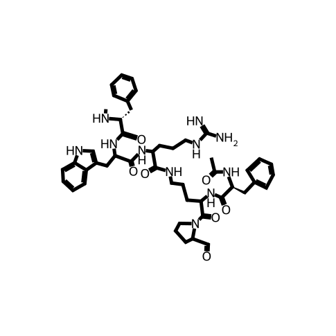 CN[C@H](Cc1ccccc1)C(=O)NC(Cc1c[nH]c2ccccc12)C(=O)NC(CCCNC(=N)N)C(=O)NCCCC(NC(=O)[C@H](Cc1ccccc1)NC(C)=O)C(=O)N1CCCC1C=O